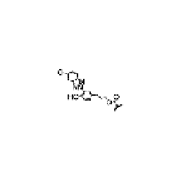 C=C(C)C(=O)OCCCc1ccc(O)c(-n2nc3ccc(Cl)cc3n2)c1